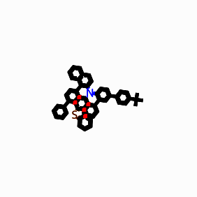 CC(C)(C)c1ccc(-c2ccc(N(c3ccc4sc5ccccc5c4c3)c3ccc4ccccc4c3-c3ccc(-c4ccccc4)cc3)c(-c3ccccc3)c2)cc1